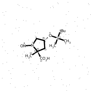 CC(C)(C)[Si](C)(C)O[C@H]1CN(N=O)[C@](C)(C(=O)O)C1